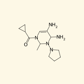 CC1N(C(=O)C2CC2)C=C(N)C(N)N1N1CCCC1